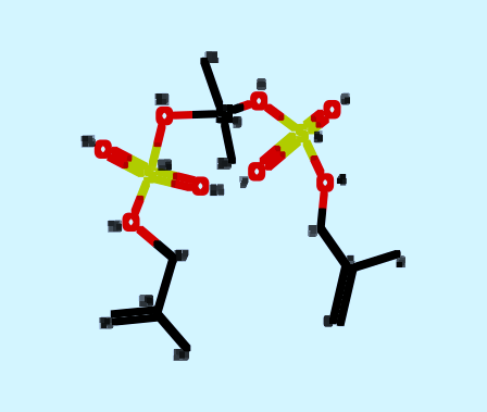 C=C(C)COS(=O)(=O)O[Si](C)(C)OS(=O)(=O)OCC(=C)C